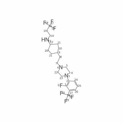 Fc1c(N2CCN(CCC3CCC(NCCC(F)(F)F)CC3)CC2)cccc1C(F)(F)F